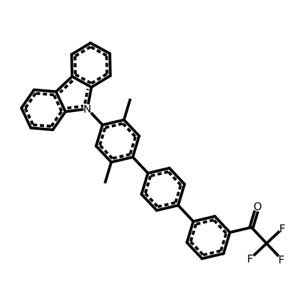 Cc1cc(-n2c3ccccc3c3ccccc32)c(C)cc1-c1ccc(-c2cccc(C(=O)C(F)(F)F)c2)cc1